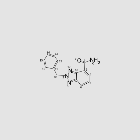 NC(=O)c1cccc2nn(Cc3ccccc3)nc12